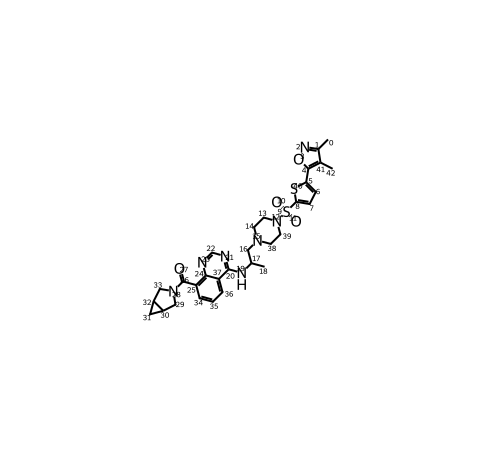 Cc1noc(-c2ccc(S(=O)(=O)N3CCN(CC(C)Nc4ncnc5c(C(=O)N6CC7CC7C6)cccc45)CC3)s2)c1C